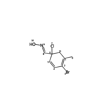 CC1=C(Br)C=CC(Cl)(C=NO)C1